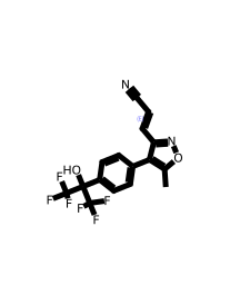 Cc1onc(/C=C/C#N)c1-c1ccc(C(O)(C(F)(F)F)C(F)(F)F)cc1